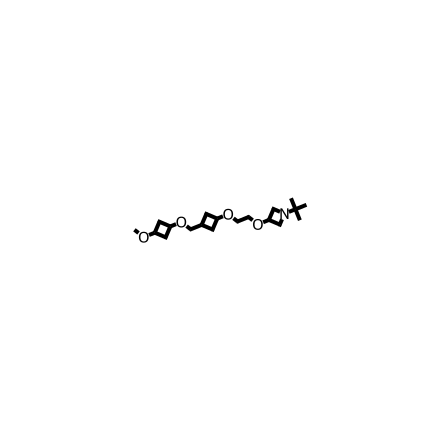 COC1CC(OCC2CC(OCCOC3CN(C(C)(C)C)C3)C2)C1